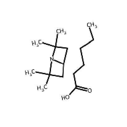 CC1(C)CC2CC(C)(C)N21.CCCCCC(=O)O